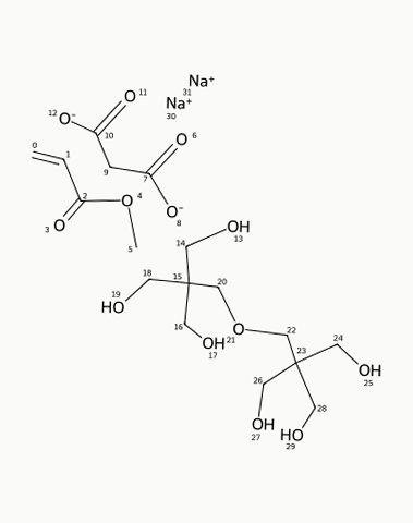 C=CC(=O)OC.O=C([O-])CC(=O)[O-].OCC(CO)(CO)COCC(CO)(CO)CO.[Na+].[Na+]